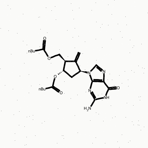 C=C1[C@H](COC(=O)CCCC)[C@@H](OC(=O)CCCC)C[C@@H]1n1cnc2c(=O)[nH]c(N)nc21